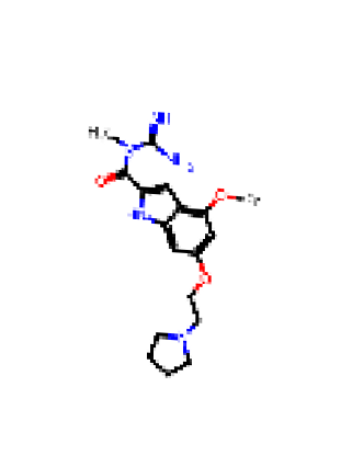 CC(C)Oc1cc(OCCN2CCCC2)cc2[nH]c(C(=O)N(C)C(=N)N)cc12